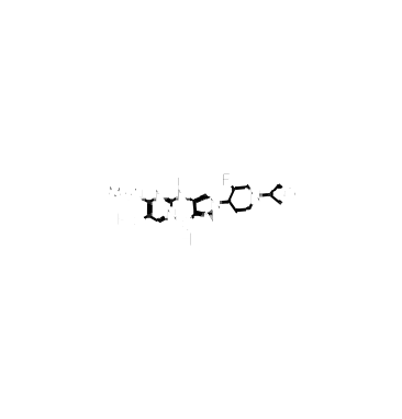 CNc1nc(Nc2cn(C3CCN(C4COC4)CC3F)nc2C)ncc1C(F)(F)F